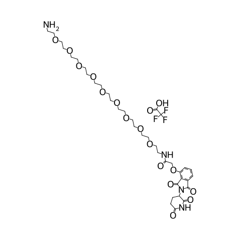 NCCOCCOCCOCCOCCOCCOCCOCCOCCOCCNC(=O)COc1cccc2c1C(=O)N(C1CCC(=O)NC1=O)C2=O.O=C(O)C(F)(F)F